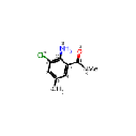 CNC(=O)c1cc(C)cc(Cl)c1N